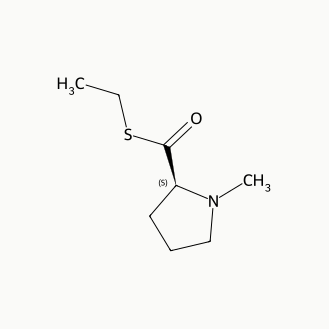 CCSC(=O)[C@@H]1CCCN1C